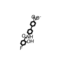 O=C(Nc1ccc(-c2ccc([N+](=O)[O-])cc2)cc1)c1ccc(F)cc1O